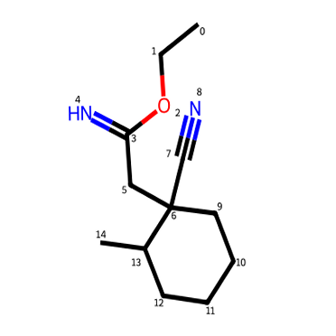 CCOC(=N)CC1(C#N)CCCCC1C